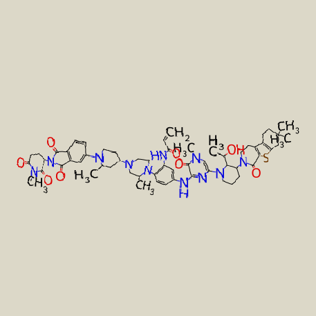 C=CC(=O)Nc1cc(Nc2nc(N3CCCC(N4CCc5c(sc6c5CCC(C)(C)C6)C4=O)C3C(C)O)cn(C)c2=O)ccc1N1CCN(C2CCN(c3ccc4c(c3)C(=O)N(C3CCC(=O)N(C)C3=O)C4=O)[C@H](C)C2)C[C@@H]1C